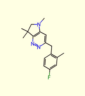 Cc1cc(F)ccc1Cc1cc2c(nn1)C(C)(C)CN2C